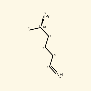 CCC[C@H](C)CCCC=N